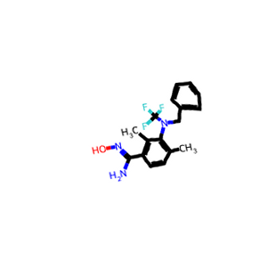 Cc1ccc(C(N)=NO)c(C)c1N(Cc1ccccc1)C(F)(F)F